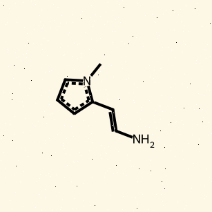 Cn1cccc1C=CN